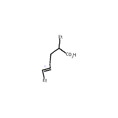 CC/C=C/CC(CC)C(=O)O